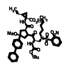 C=CCCCN(C[C@H](NC(=O)OC(C)(C)C)C(=O)C1C[C@](OC)(c2ccc(-c3ccccc3)cc2)C[C@H]1C(=O)N[C@]1(C(=O)OCC)C[C@H]1C=C)S(=O)(=O)c1ccccc1[N+](=O)[O-]